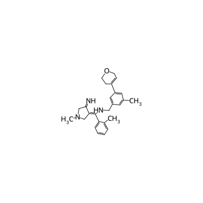 Cc1cc(CN/C(=C2/CN(C)CC2=N)c2ccccc2C)cc(C2=CCOCC2)c1